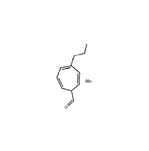 CCCC1=CC=CC(C=O)C=C1.[Mn]